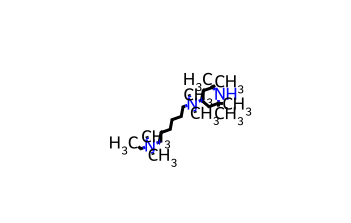 CC[N+](C)(C)CCCCCC[N+](C)(C)C1CC(C)(C)NC(C)(C)C1